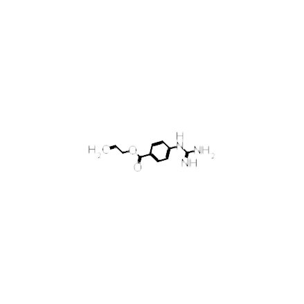 C=CCOC(=O)c1ccc(NC(=N)N)cc1